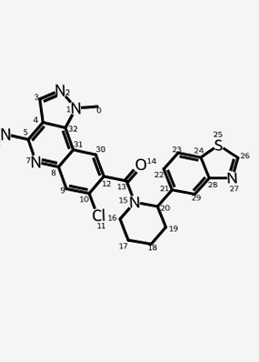 Cn1ncc2c(N)nc3cc(Cl)c(C(=O)N4CCCCC4c4ccc5scnc5c4)cc3c21